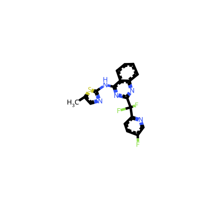 Cc1cnc(Nc2nc(C(F)(F)c3ccc(F)cn3)nc3ccccc23)s1